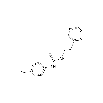 O=C(NCCc1cccnc1)Nc1ccc(Cl)cc1